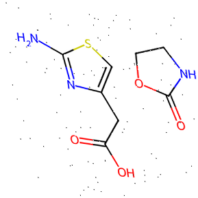 Nc1nc(CC(=O)O)cs1.O=C1NCCO1